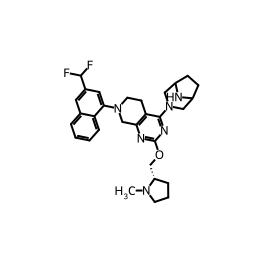 CN1CCC[C@H]1COc1nc2c(c(N3CC4CCC(C3)N4)n1)CCN(c1cc(C(F)F)cc3ccccc13)C2